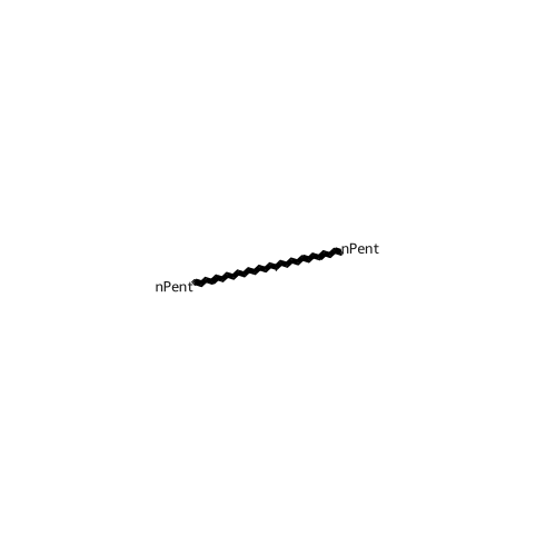 CCCCCC=CCC=CCC=CCCCC[CH]CCCCCCCCCCC=CCC=CCCCCC